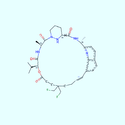 CC(C)[C@@H]1OC(=O)CCC(CF)(CF)CC/C=C/c2ccc3ccc(nc3c2)[C@@H](C)NC(=O)[C@@H]2CCCN(N2)C(=O)[C@H](C)NC1=O